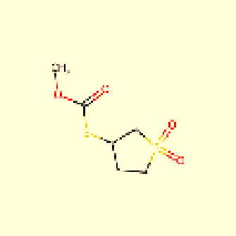 COC(=O)SC1CCS(=O)(=O)C1